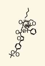 CCCCC[C@@H](C(=O)NCNC(=O)c1ccc(-c2ccc(C(=O)OC(C)(C)C)cc2)o1)[C@@H](CC)N(C=O)OCc1ccccc1